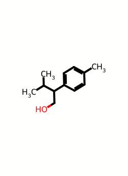 Cc1ccc(C(CO)C(C)C)cc1